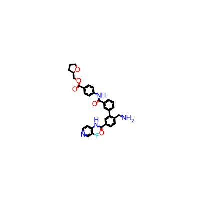 NCc1ccc(C(=O)Nc2ccncc2F)cc1-c1cccc(C(=O)Nc2ccc(C(=O)OCC3CCCO3)cc2)c1